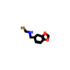 SCNCC1C=CC2=C(C1)OCO2